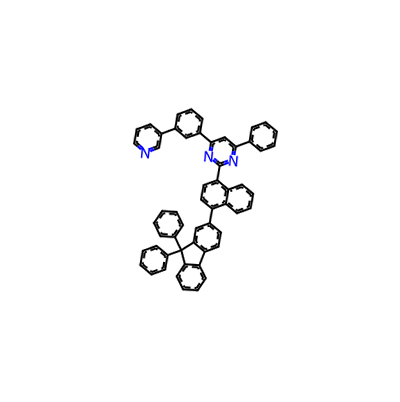 c1ccc(-c2cc(-c3cccc(-c4cccnc4)c3)nc(-c3ccc(-c4ccc5c(c4)C(c4ccccc4)(c4ccccc4)c4ccccc4-5)c4ccccc34)n2)cc1